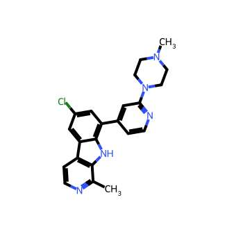 Cc1nccc2c1[nH]c1c(-c3ccnc(N4CCN(C)CC4)c3)cc(Cl)cc12